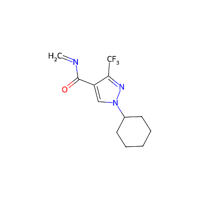 C=NC(=O)c1cn(C2CCCCC2)nc1C(F)(F)F